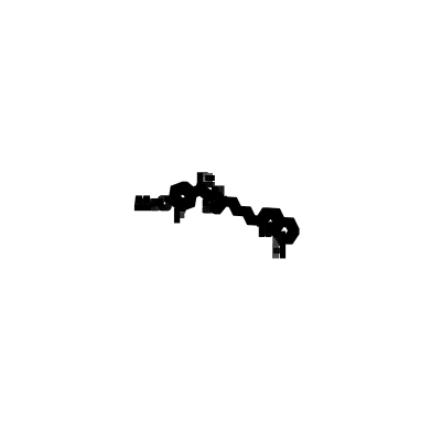 CCC(c1ccc(OC)c(F)c1)c1nc(CCCCc2ccc3c(n2)NCCC3)cs1